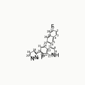 Fc1ccc2cc(C3=CCNCc4c3ccc(-c3cccnn3)c4F)ccc2c1